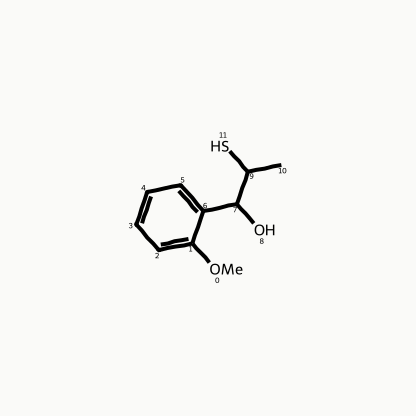 COc1ccccc1C(O)C(C)S